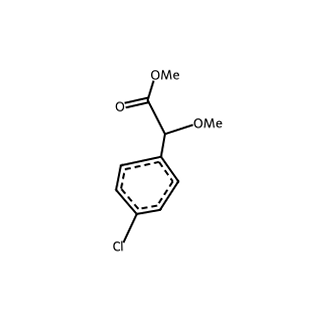 COC(=O)C(OC)c1ccc(Cl)cc1